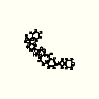 CN1C(=O)[C@@H](NC(=O)c2nnc(C3(c4ccccc4)CC3)o2)CCc2ccc(N3CC4(CCOCC4)C3)cc21